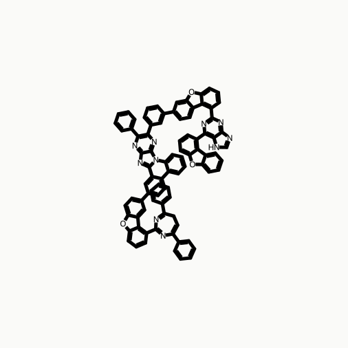 C1=C(c2ccccc2)N=C(c2cccc3oc4ccc(-c5ccc6c7ccccc7n7c8nc(-c9cccc(-c%10ccc%11c(c%10)oc%10cccc(-c%12nc(-c%13cccc%14oc%15ccccc%15c%13%14)c%13[nH]cnc%13n%12)c%10%11)c9)c(-c9ccccc9)nc8nc7c6c5)cc4c23)N=C(c2ccccc2)C1